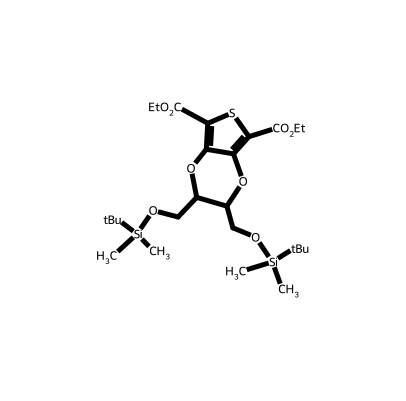 CCOC(=O)c1sc(C(=O)OCC)c2c1OC(CO[Si](C)(C)C(C)(C)C)C(CO[Si](C)(C)C(C)(C)C)O2